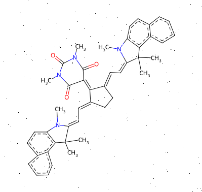 CN1C(=O)C(=C2C(=CC=C3N(C)c4ccc5ccccc5c4C3(C)C)CCC2=CC=C2N(C)c3ccc4ccccc4c3C2(C)C)C(=O)N(C)C1=O